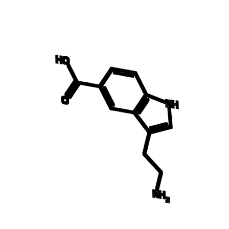 NCCc1c[nH]c2ccc(C(=O)O)cc12